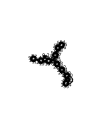 CC1(C)c2cc(-c3ccccc3)ccc2-c2ccc(N(c3ccc(-c4ccc(-c5ccc6oc7ccccc7c6c5)cc4)cc3)c3ccc(-c4ccc5ccccc5c4)cc3)cc21